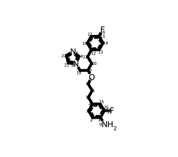 Nc1ccc(CCCOC(CCc2ccc(F)cc2)Cn2ccnc2)cc1F